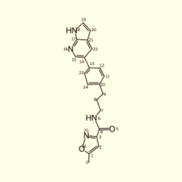 Cc1cc(C(=O)NCCCc2ccc(-c3cnc4[nH]ccc4c3)cc2)no1